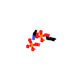 CC#N.O=P([O-])(O)O.O=P([O-])([O-])O.[K+].[Na+].[Na+]